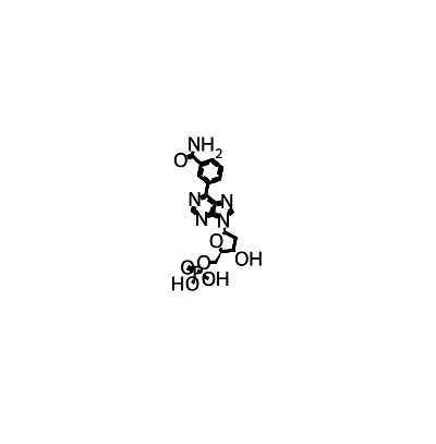 NC(=O)c1cccc(-c2ncnc3c2ncn3[C@H]2C[C@H](O)[C@@H](COP(=O)(O)O)O2)c1